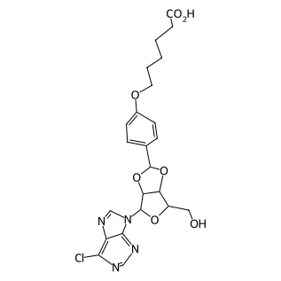 O=C(O)CCCCCOc1ccc(C2OC3C(CO)OC(n4cnc5c(Cl)ncnc54)C3O2)cc1